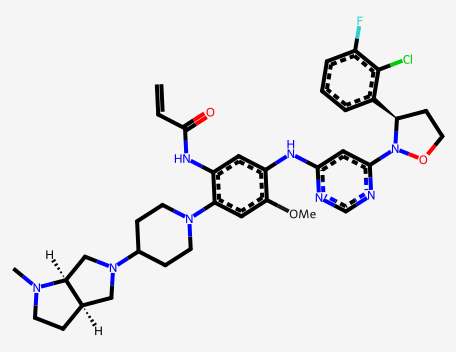 C=CC(=O)Nc1cc(Nc2cc(N3OCC[C@@H]3c3cccc(F)c3Cl)ncn2)c(OC)cc1N1CCC(N2C[C@H]3CCN(C)[C@H]3C2)CC1